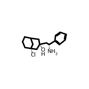 N[C@H](C[C@]1(O)CC2CCC[C@@](Cl)(C2)C1)c1ccccc1